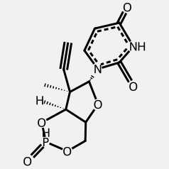 C#C[C@]1(C)[C@@H]2O[PH](=O)OCC2O[C@H]1n1ccc(=O)[nH]c1=O